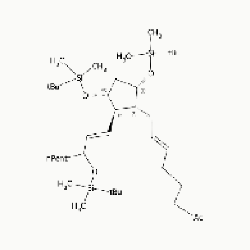 CCCCCC(C=C[C@@H]1[C@@H](CC=CCCCC(C)=O)[C@@H](O[Si](C)(C)C(C)(C)C)C[C@H]1O[Si](C)(C)C(C)(C)C)O[Si](C)(C)C(C)(C)C